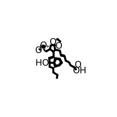 CCCCCC(O)(C=CC1C(C[N+](=O)[O-])CC2(OCCO2)C1CC=CCCCC(=O)O)c1ccccc1